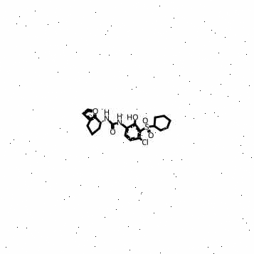 O=C(Nc1ccc(Cl)c(S(=O)(=O)C2CCCCC2)c1O)N[C@@H]1CCCc2ccoc21